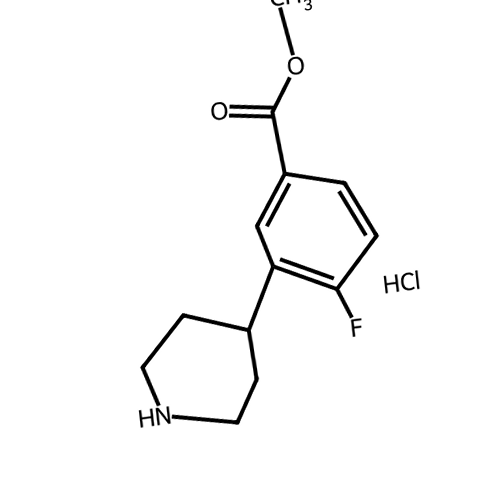 COC(=O)c1ccc(F)c(C2CCNCC2)c1.Cl